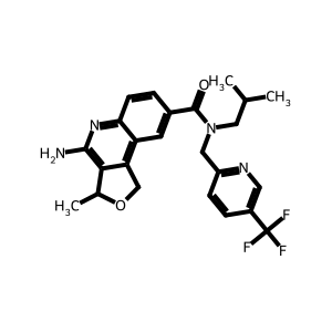 CC(C)CN(Cc1ccc(C(F)(F)F)cn1)C(=O)c1ccc2nc(N)c3c(c2c1)COC3C